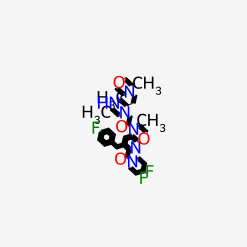 C[C@@H]1CN(CC(=O)N2c3cc(Cc4ccc(F)cc4)c(C(=O)N4CCC(F)(F)CC4)nc3OC[C@@H]2C)[C@@H](CCN2[C@H](C)COC[C@H]2C)CN1